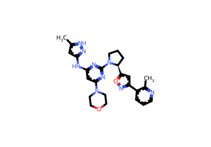 Cc1cc(Nc2cc(N3CCOCC3)nc(N3CCC[C@H]3c3cc(-c4cccnc4C)no3)n2)n[nH]1